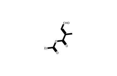 CCC(=O)OC(=O)C(C)=CC=O